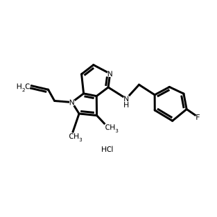 C=CCn1c(C)c(C)c2c(NCc3ccc(F)cc3)nccc21.Cl